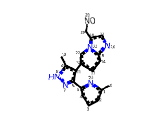 Cc1cccc(-c2n[nH]c(C)c2-c2ccc3ncc(CN=O)n3c2)n1